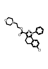 O=C(OCCN1CCOCC1)c1nn(-c2ccccc2)c2c1CCc1cc(Cl)ccc1-2